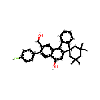 CC1(C)CC(C)(C)CC2(C1)c1ccccc1-c1c2cc(O)c2cc(-c3ccc(F)cc3)c(CO)cc12